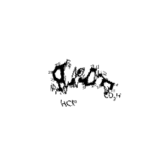 CC(C)c1nn(-c2noc(C3CCN(C[C@H]4CCN(C(=O)O)C4)CC3)n2)c2c(F)cccc12.Cl